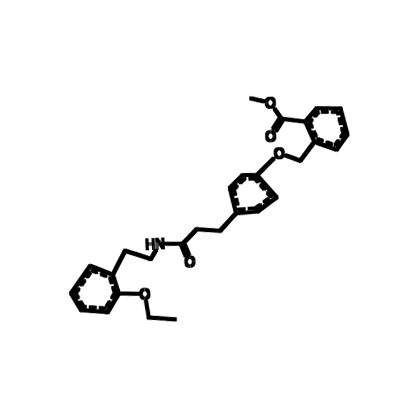 CCOc1ccccc1CCNC(=O)CCc1ccc(OCc2ccccc2C(=O)OC)cc1